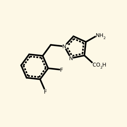 Nc1cn(Cc2cccc(F)c2F)nc1C(=O)O